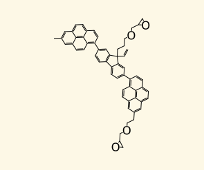 C=CC1(CCCOCC2CO2)c2cc(-c3ccc4ccc5cc(C)cc6ccc3c4c56)ccc2-c2ccc(-c3ccc4ccc5cc(CCOCC6CO6)cc6ccc3c4c56)cc21